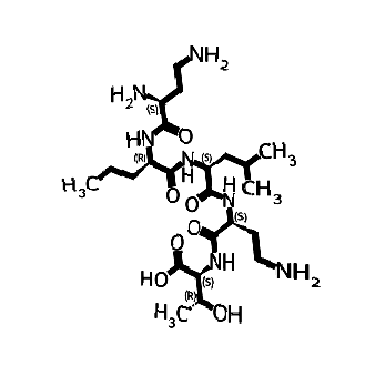 CCC[C@@H](NC(=O)[C@@H](N)CCN)C(=O)N[C@@H](CC(C)C)C(=O)N[C@@H](CCN)C(=O)N[C@H](C(=O)O)[C@@H](C)O